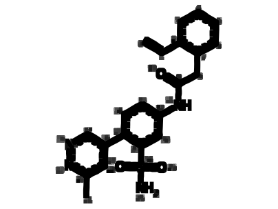 C=Cc1ccccc1CC(=O)Nc1ccc(-c2cnnc(C)c2)c(S(N)(=O)=O)c1